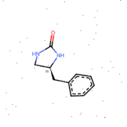 O=C1NC[C@H](Cc2ccccc2)N1